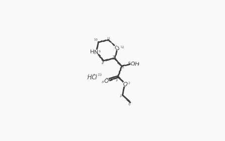 CCOC(=O)C(O)C1CNCCO1.Cl